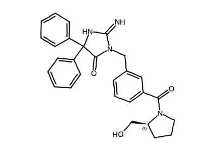 N=C1NC(c2ccccc2)(c2ccccc2)C(=O)N1Cc1cccc(C(=O)N2CCC[C@H]2CO)c1